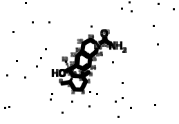 CC1CCCC(C)(C)[C@H]1[C@@](C)(O)c1ccc2c(c1)CCN(C(N)=O)C2